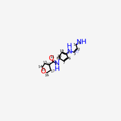 N=C/C=C\Nc1ccc(NC(=O)C2CCOCC2)cc1